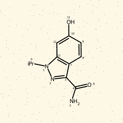 CC(C)n1nc(C(N)=O)c2ccc(O)cc21